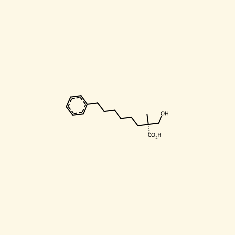 C[C@@](CO)(CCCCCCc1ccccc1)C(=O)O